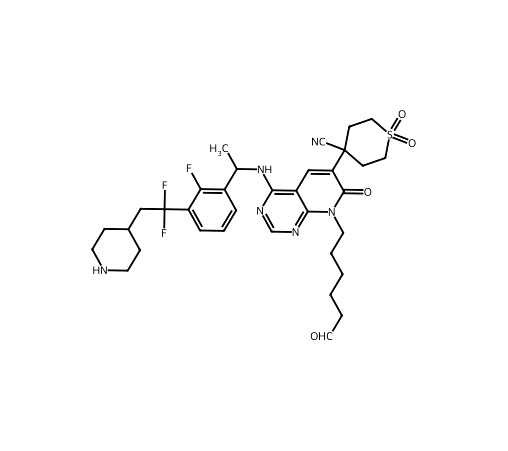 CC(Nc1ncnc2c1cc(C1(C#N)CCS(=O)(=O)CC1)c(=O)n2CCCCCC=O)c1cccc(C(F)(F)CC2CCNCC2)c1F